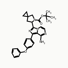 CC(C)(C)OC(=O)N1CC2(CC2)CC1c1nc(-c2ccc(Oc3ccccc3)cc2)c2c(N)nccn12